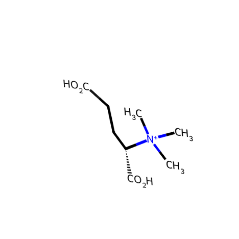 C[N+](C)(C)[C@@H](CCC(=O)O)C(=O)O